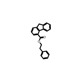 O=C(OCCc1ccccc1)c1cccc2c1-c1ccccc1C2